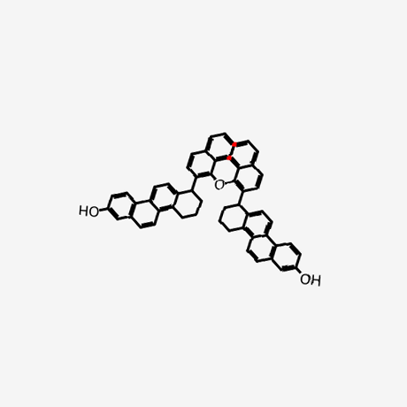 Oc1ccc2c(ccc3c4c(ccc32)C(c2ccc3ccccc3c2Oc2c(C3CCCc5c3ccc3c5ccc5cc(O)ccc53)ccc3ccccc23)CCC4)c1